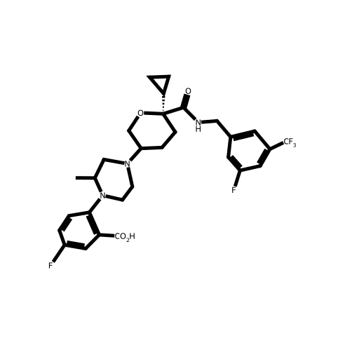 CC1CN(C2CC[C@@](C(=O)NCc3cc(F)cc(C(F)(F)F)c3)(C3CC3)OC2)CCN1c1ccc(F)cc1C(=O)O